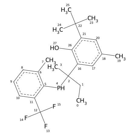 CCC(C)(Pc1c(C)cccc1C(F)(F)F)c1cc(C)cc(C(C)(C)C)c1O